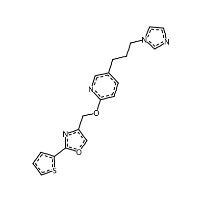 c1csc(-c2nc(COc3ccc(CCCn4ccnc4)cn3)co2)c1